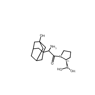 NC(C(=O)N1CCC[C@H]1B(O)O)C12CC3CC(CC(O)(C3)C1)C2